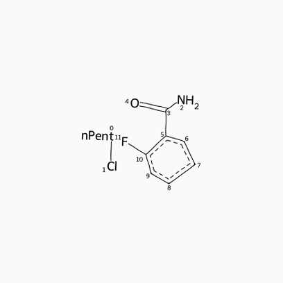 CCCCCCl.NC(=O)c1ccccc1F